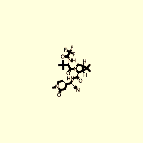 CN1CC[C@H]([C@@H](C#N)NC(=O)[C@@H]2[C@@H]3[C@H](CN2C(=O)[C@@H](NC(=O)C(F)(F)F)C(C)(C)C)C3(C)C)CC1=O